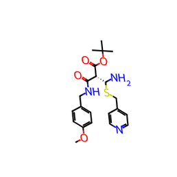 COc1ccc(CNC(=O)[C@H](C(=O)OC(C)(C)C)C(N)SCc2ccncc2)cc1